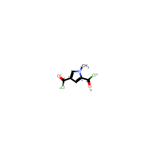 Cn1cc(C(=O)Cl)cc1C(=O)Cl